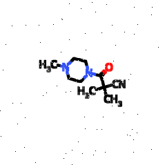 CN1CCN(C(=O)C(C)(C)C#N)CC1